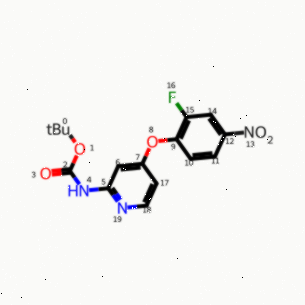 CC(C)(C)OC(=O)Nc1cc(Oc2ccc([N+](=O)[O-])cc2F)ccn1